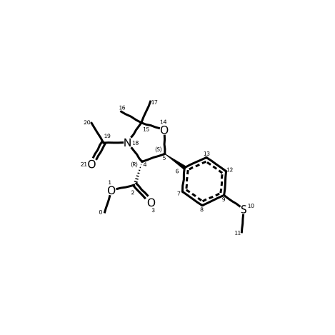 COC(=O)[C@H]1[C@H](c2ccc(SC)cc2)OC(C)(C)N1C(C)=O